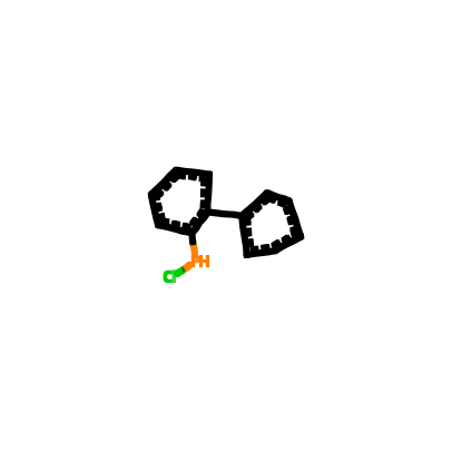 ClPc1ccccc1-c1ccccc1